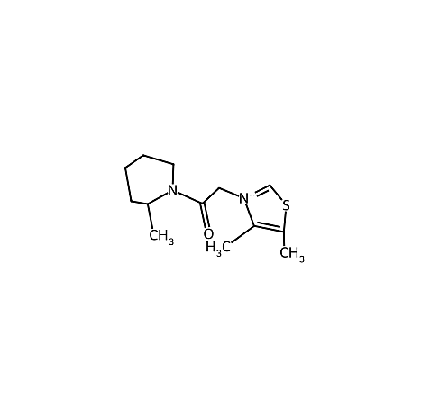 Cc1sc[n+](CC(=O)N2CCCCC2C)c1C